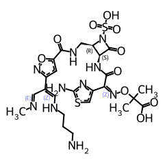 C/N=C/C(=C\NCCCN)c1cc(C(=O)NC[C@@H]2[C@H](NC(=O)/C(=N\OC(C)(C)C(=O)O)c3csc(N)n3)C(=O)N2S(=O)(=O)O)on1